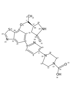 CC(Oc1cc(-c2ccc(N3CCN(C(=O)O)CC3)cn2)cc2ncsc12)[C@H]1CNC(=O)C1